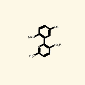 COc1ccc(C#N)cc1-c1nc(C)ccc1C(=O)O